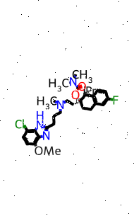 COc1ccc(Cl)c2[nH]c(CCCN(C)CC[C@@]3(OC(=O)N(C)C)CCc4cc(F)ccc4[C@@H]3C(C)C)nc12